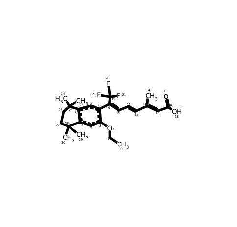 CCOc1cc2c(cc1/C(=C/C=C/C(C)=C/C(=O)O)C(F)(F)F)C(C)(C)CCC2(C)C